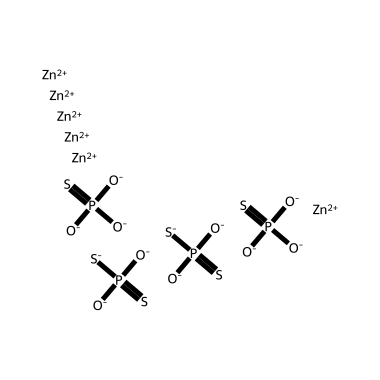 [O-]P([O-])(=S)[S-].[O-]P([O-])(=S)[S-].[O-]P([O-])([O-])=S.[O-]P([O-])([O-])=S.[Zn+2].[Zn+2].[Zn+2].[Zn+2].[Zn+2].[Zn+2]